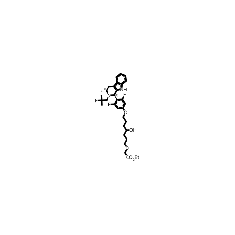 CCOC(=O)COCCCC(O)CCCOc1cc(F)c([C@@H]2c3[nH]c4ccccc4c3C[C@@H](C)N2CC(C)(C)F)c(F)c1